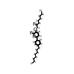 CCCCCCCCc1ccc(-c2ccc(OCC(F)CCCCCC)c(F)n2)cc1